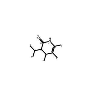 CC1=C(C)C(C)C(C(C)C)C(=O)N1